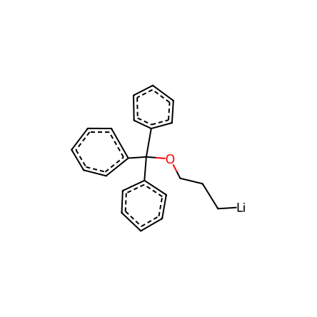 [Li][CH2]CCOC(c1ccccc1)(c1ccccc1)c1ccccc1